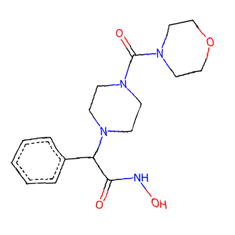 O=C(NO)C(c1ccccc1)N1CCN(C(=O)N2CCOCC2)CC1